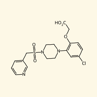 O=C(O)COc1ccc(Cl)cc1N1CCN(S(=O)(=O)Cc2cccnc2)CC1